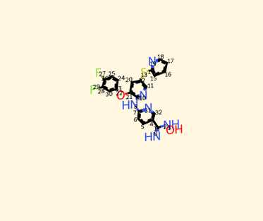 N=C(NO)c1ccc(Nc2ncc(Sc3ccccn3)cc2Oc2ccc(F)c(F)c2)nc1